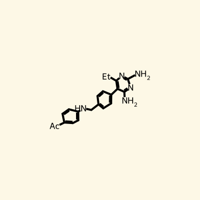 CCc1nc(N)nc(N)c1-c1ccc(CNc2ccc(C(C)=O)cc2)cc1